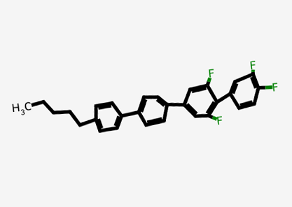 CCCCCc1ccc(-c2ccc(-c3cc(F)c(-c4ccc(F)c(F)c4)c(F)c3)cc2)cc1